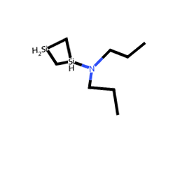 CCCN(CCC)[SiH]1C[SiH2]C1